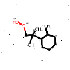 CC1CCCCC1C(C)(C)COO